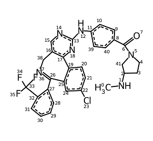 CNC1CCN(C(=O)c2ccc(Nc3ncc4c(n3)-c3ccc(Cl)cc3C(c3ccccc3C(F)(F)F)=NC4)cc2)C1